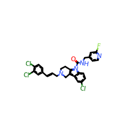 O=C(NCc1ccnc(F)c1)n1c2c(c3cc(Cl)ccc31)CN(C/C=C/c1ccc(Cl)c(Cl)c1)CC2